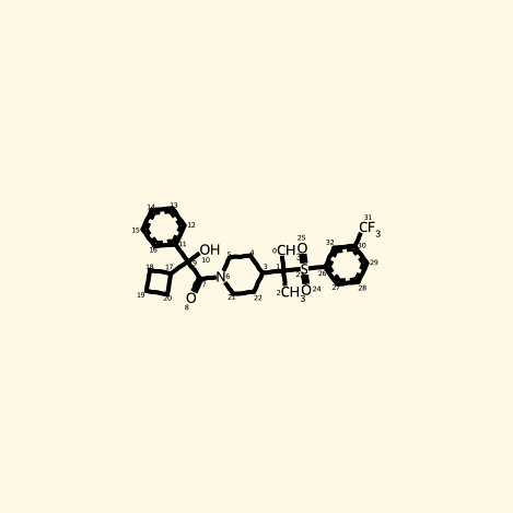 CC(C)(C1CCN(C(=O)C(O)(c2ccccc2)C2CCC2)CC1)S(=O)(=O)c1cccc(C(F)(F)F)c1